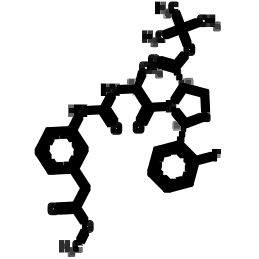 COC(=O)Cc1cccc(NC(=O)N[C@@H](C)C(=O)N2[C@@H](c3ccccc3F)SC[C@H]2C(=O)OC(C)(C)C)c1